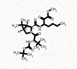 CCCCC(NC(=O)[C@@H]1[C@@H]2[C@H](CN1C(=O)[C@@H](NC(=O)OC(C)(C)C)C(C)(C)C)C2(C)C)C(=O)C(=O)OC